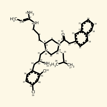 CN=C(N)NCCC[C@H]1CN(C(=O)Cc2ccc3ccccc3c2)[C@H](CC(C)C)CN1C[C@@H](N)Cc1ccc(Cl)cc1Cl